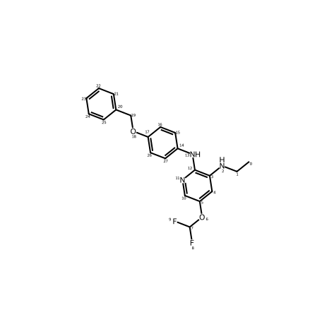 CCNc1cc(OC(F)F)cnc1Nc1ccc(OCc2ccccc2)cc1